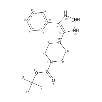 CC(C)(C)OC(=O)N1CCN(C2=C(c3ccccc3)NNN2)CC1